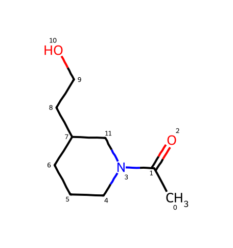 CC(=O)N1CCCC(CCO)C1